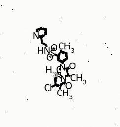 Cc1ccc(N(C)C(=O)C(C)n2ncc(Cl)c(C)c2=O)cc1S(=O)(=O)NCCc1ccccn1